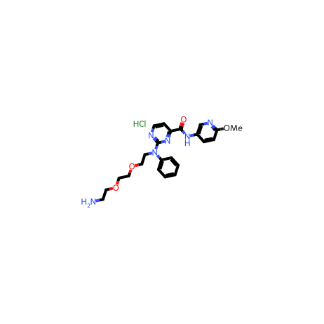 COc1ccc(NC(=O)c2ccnc(N(CCOCCOCCN)c3ccccc3)n2)cn1.Cl